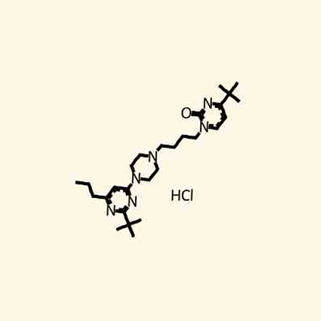 CCCc1cc(N2CCN(CCCCn3ccc(C(C)(C)C)nc3=O)CC2)nc(C(C)(C)C)n1.Cl